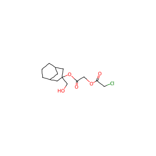 O=C(CCl)OCC(=O)OC1(CO)CC2CCCC(C2)C1